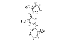 Br.Brc1ccccc1CN1C=CN(Cc2ccccc2Br)C1